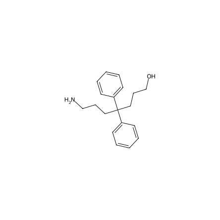 NCCCC(CCCO)(c1ccccc1)c1ccccc1